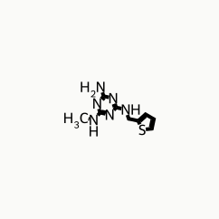 CNc1nc(N)nc(NCc2cccs2)n1